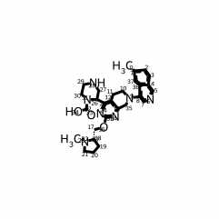 Cc1ccc2cncc(N3CCc4c(nc(OC[C@@H]5CCCN5C)nc4C4CNCCN4C(=O)O)C3)c2c1